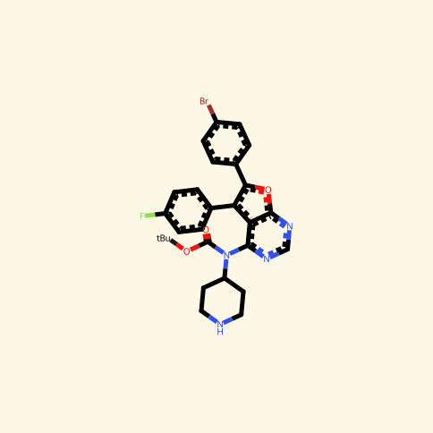 CC(C)(C)OC(=O)N(c1ncnc2oc(-c3ccc(Br)cc3)c(-c3ccc(F)cc3)c12)C1CCNCC1